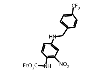 CCOC(=O)Nc1ccc(NCc2ccc(C(F)(F)F)cc2)cc1[N+](=O)[O-]